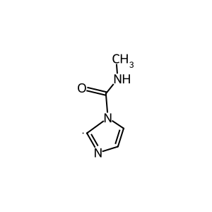 CNC(=O)n1[c]ncc1